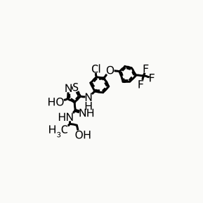 CC(CO)NC(=N)c1c(O)nsc1Nc1ccc(Oc2ccc(C(F)(F)F)cc2)c(Cl)c1